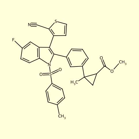 COC(=O)C1CC1(C)c1cccc(-c2c(-c3ccsc3C#N)c3cc(F)ccc3n2S(=O)(=O)c2ccc(C)cc2)c1